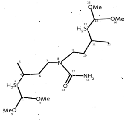 COC(OC)[SiH2]C(C)CCN(CCC(C)[SiH2]C(OC)OC)C(N)=O